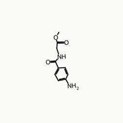 COC(=O)CNC(=O)c1ccc(N)cc1